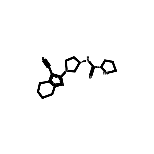 N#Cc1c(N2CC[C@H](NC(=O)[C@@H]3CCCN3)C2)sc2c1CCCC2